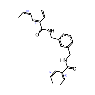 C=C/C(=C\C=C/C)C(=O)NCc1cccc(CNC(=O)C(/C=C\C)=C/C)c1